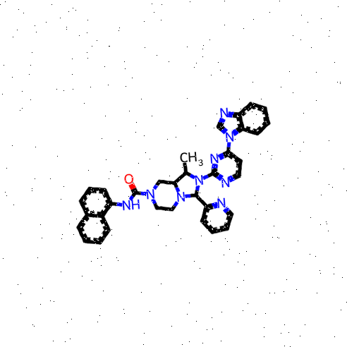 CC1C2CN(C(=O)Nc3cccc4ccccc34)CCN2C(c2ccccn2)N1c1nccc(-n2cnc3ccccc32)n1